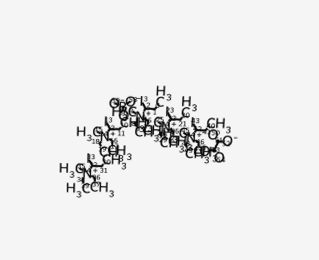 CCC(I)[N+](C)(CC)CC.CCC(I)[N+](C)(CC)CC.CCC(I)[N+](C)(CC)CC.CCC(I)[N+](C)(CC)CC.CCC(I)[N+](C)(CC)CC.O=C([O-])C(=O)[O-].[O-]B([O-])[O-]